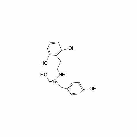 OC[C@H](Cc1ccc(O)cc1)NCCc1c(O)cccc1O